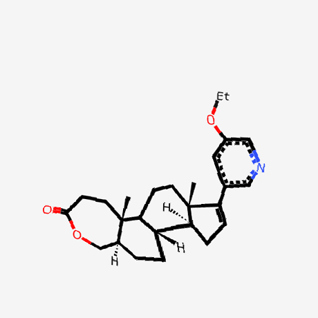 CCOc1cncc(C2=CC[C@H]3[C@@H]4CC[C@H]5COC(=O)CC[C@]5(C)C4CC[C@]23C)c1